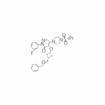 CC(C)S(=O)(=O)N1CCN(c2cnn(-c3cccc(F)c3)c(=O)c2O[C@H]2C[C@H](COCc3ccccc3)C2)CC1